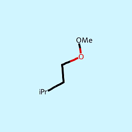 COOCCC(C)C